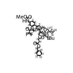 COC(=O)Nc1ccc(-c2cn(COCC[Si](C)(C)C)c([C@H](COCCC(=O)OCc3ccccc3)NC(=O)OC(C)(C)C)n2)c(N(F)C(=O)C(F)F)c1